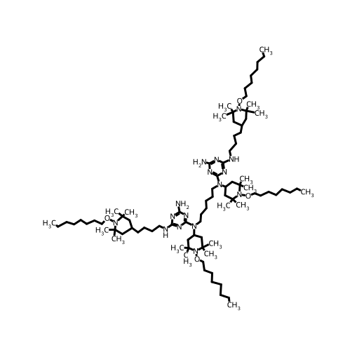 CCCCCCCCON1C(C)(C)CC(CCCCNc2nc(N)nc(N(CCCCCCN(c3nc(N)nc(NCCCCC4CC(C)(C)N(OCCCCCCCC)C(C)(C)C4)n3)C3CC(C)(C)N(OCCCCCCCC)C(C)(C)C3)C3CC(C)(C)N(OCCCCCCCC)C(C)(C)C3)n2)CC1(C)C